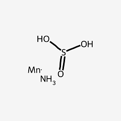 N.O=S(O)O.[Mn]